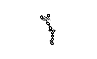 CC1(C)c2ccccc2-c2ccc(-c3ccc(-c4ccc5c(-c6cccc7cc(-c8ccc(C9NC(c%10ccccc%10)=NC(c%10ccccc%10)N9)cc8)ccc67)cccc5c4)cc3)cc21